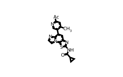 CC(=O)c1cc(C)c(-c2cc3nc(NC(=O)C4CC4)sc3n3ccnc23)cn1